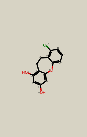 Oc1cc(O)c2c(c1)Oc1cccc(Cl)c1CC2